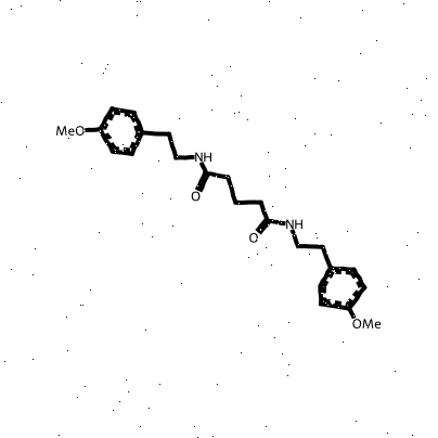 COc1ccc(CCNC(=O)CCCC(=O)NCCc2ccc(OC)cc2)cc1